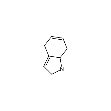 C1=CCC2[N]CC=C2C1